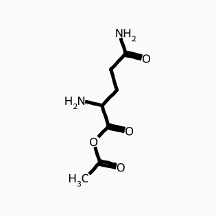 CC(=O)OC(=O)C(N)CCC(N)=O